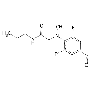 CCCNC(=O)CN(C)c1c(F)cc(C=O)cc1F